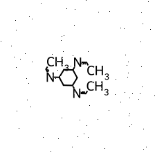 C/C=N\C1CC(/N=C\C)CC(/N=C\C)C1